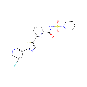 O=C(NS(=O)(=O)N1CCCCC1)c1cccc(-c2cnc(-c3cncc(F)c3)s2)n1